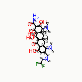 CN(Cc1cc(O)c2c(c1N(C)C)C[C@H]1C[C@H]3[C@H](N(C)C)C(O)=C(C(N)=O)C(=O)[C@@]3(O)C(O)=C1C2=O)CC(F)F